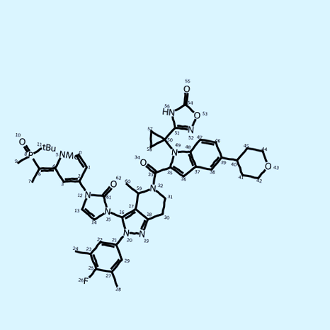 C=C/C(=C\C(NC)=C(/C)P(C)(=O)C(C)(C)C)n1ccn(-c2c3c(nn2-c2cc(C)c(F)c(C)c2)CCN(C(=O)c2cc4cc(C5CCOCC5)ccc4n2C2(c4noc(=O)[nH]4)CC2)C3C)c1=O